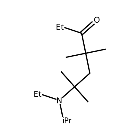 CCC(=O)C(C)(C)CC(C)(C)N(CC)C(C)C